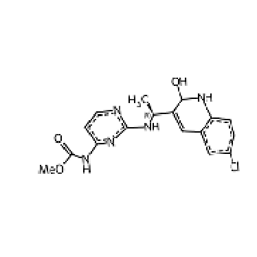 COC(=O)Nc1ccnc(N[C@@H](C)C2=Cc3cc(Cl)ccc3NC2O)n1